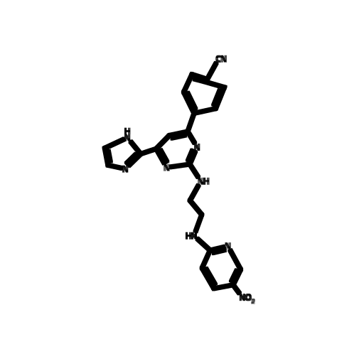 N#Cc1ccc(-c2cc(-c3ncc[nH]3)nc(NCCNc3ccc([N+](=O)[O-])cn3)n2)cc1